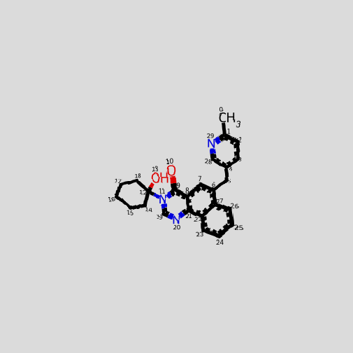 Cc1ccc(Cc2cc3c(=O)n(C4(O)CCCCC4)cnc3c3ccccc23)cn1